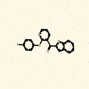 O=C(c1cc2ccccc2o1)c1cccnc1Oc1ccc(F)cc1